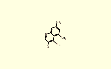 Cc1cc(C)c2c(N)c(Br)cnc2c1